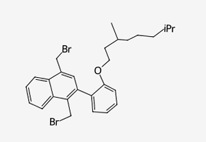 CC(C)CCCC(C)CCOc1ccccc1-c1cc(CBr)c2ccccc2c1CBr